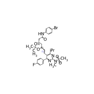 CC(C)c1nc(N(C)S(C)(=O)=O)nc(-c2ccc(F)cc2)c1/C=C/[C@@H]1C[C@H](CC(=O)Nc2ccc(Br)cc2)OC(C)(C)O1